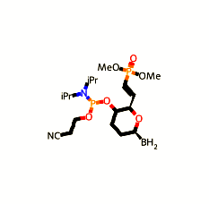 B[C@H]1CCC(OP(OCCC#N)N(C(C)C)C(C)C)[C@@H](/C=C/P(=O)(OC)OC)O1